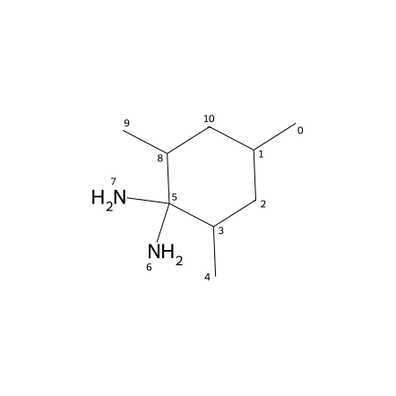 CC1CC(C)C(N)(N)C(C)C1